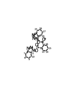 O=C(On1nnc2ccccc21)c1ccccc1C(=O)On1nnc2ccccc21